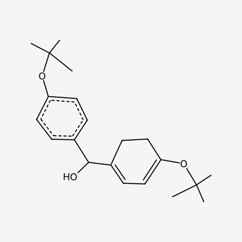 CC(C)(C)OC1=CC=C(C(O)c2ccc(OC(C)(C)C)cc2)CC1